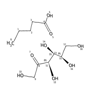 CCCCC(=O)O.O=C(CO)[C@H](O)[C@@H](O)[C@H](O)CO